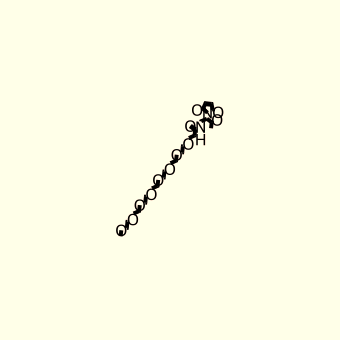 COCCOCCOCCOCCOCCOCCOCCOCCC(=O)NCC(C(C)=O)N1C(=O)C=CC1=O